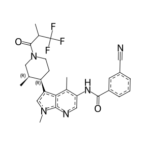 Cc1c(NC(=O)c2cccc(C#N)c2)cnc2c1c([C@@H]1CCN(C(=O)C(C)C(F)(F)F)C[C@@H]1C)cn2C